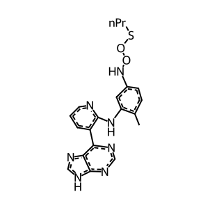 CCCSOONc1ccc(C)c(Nc2ncccc2-c2ncnc3[nH]cnc23)c1